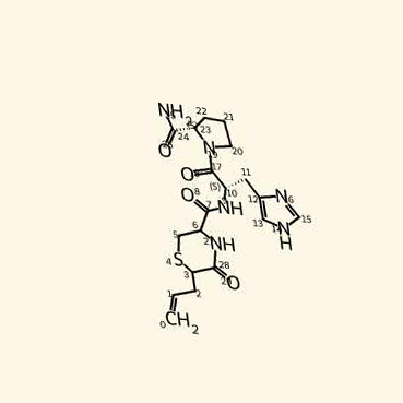 C=CCC1SCC(C(=O)N[C@@H](Cc2c[nH]cn2)C(=O)N2CCC[C@H]2C(N)=O)NC1=O